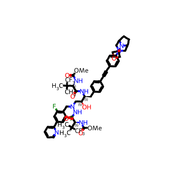 COC(=O)N[C@H](C(=O)N[C@@H](Cc1ccc(C#Cc2ccc(N3CC4CCC(C3)N4C3COC3)cc2)cc1)[C@@H](O)CN(Cc1c(F)cc(-c2ccccn2)cc1F)NC(=O)[C@@H](NC(=O)OC)C(C)(C)C(F)(F)F)C(C)(C)C(F)(F)F